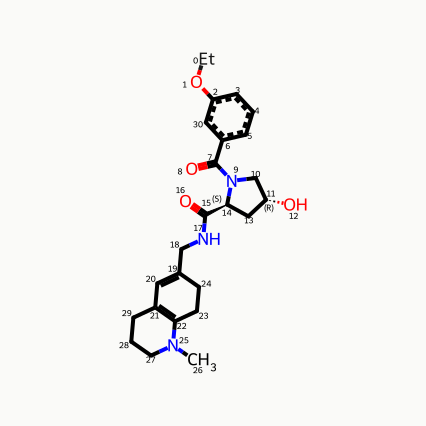 CCOc1cccc(C(=O)N2C[C@H](O)C[C@H]2C(=O)NCC2=CC3=C(CC2)N(C)CCC3)c1